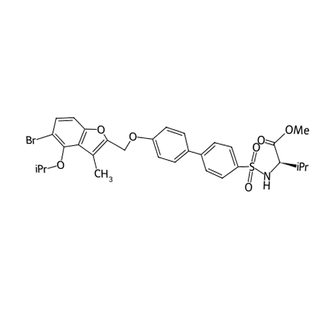 COC(=O)[C@H](NS(=O)(=O)c1ccc(-c2ccc(OCc3oc4ccc(Br)c(OC(C)C)c4c3C)cc2)cc1)C(C)C